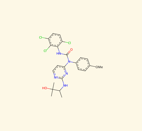 COc1ccc(N(C(=O)Nc2c(Cl)ccc(Cl)c2Cl)c2ccnc(NC(C)C(C)(C)O)n2)cc1